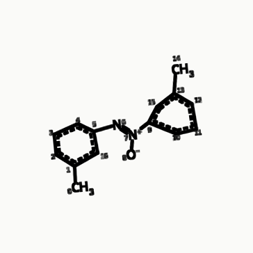 Cc1cccc(N=[N+]([O-])c2cccc(C)c2)c1